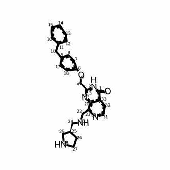 O=c1[nH]c(COc2ccc(Cc3ccccc3)cc2)nc2c(CNC[C@H]3CCNC3)nccc12